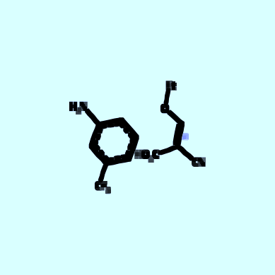 CCO/C=C(/C#N)C(=O)O.Nc1cccc(C(F)(F)F)c1